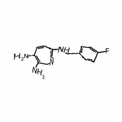 Nc1ccc(NCc2ccc(F)cc2)nc1N